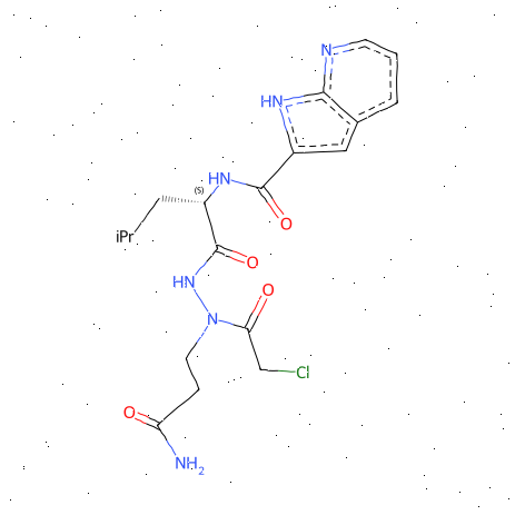 CC(C)C[C@H](NC(=O)c1cc2cccnc2[nH]1)C(=O)NN(CCC(N)=O)C(=O)CCl